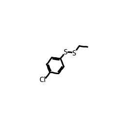 CCSSc1ccc(Cl)cc1